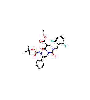 CCOC(=O)c1cn(Cc2c(F)cccc2F)c(=O)n(C[C@H](NC(=O)OC(C)(C)C)c2ccccc2)c1=O